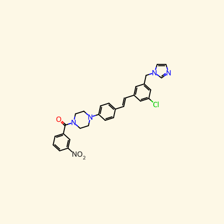 O=C(c1cccc([N+](=O)[O-])c1)N1CCN(c2ccc(/C=C/c3cc(Cl)cc(Cn4ccnc4)c3)cc2)CC1